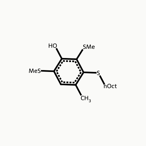 CCCCCCCCSc1c(C)cc(SC)c(O)c1SC